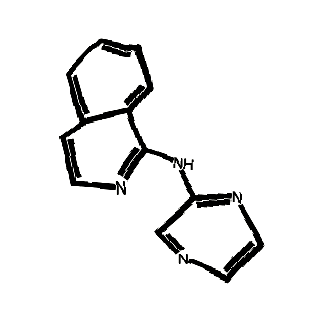 c1ccc2c(Nc3cnccn3)nccc2c1